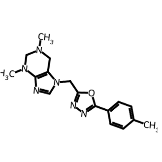 Cc1ccc(-c2nnc(Cn3cnc4c3CN(C)CN4C)o2)cc1